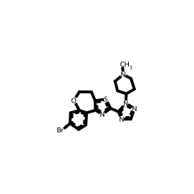 CN1CCC(n2ncnc2-c2nc3c(s2)CCOc2cc(Br)ccc2-3)CC1